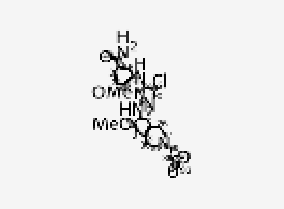 COc1cc2c(cc1Nc1ncc(Cl)c(Nc3cc(C(N)=O)ccc3OC)n1)CCN(CCS(C)(=O)=O)CC2